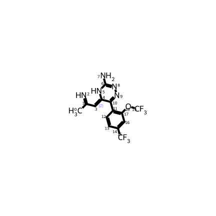 CC(=N)/C=C1\NC(N)=NN=C1c1ccc(C(F)(F)F)cc1OC(F)(F)F